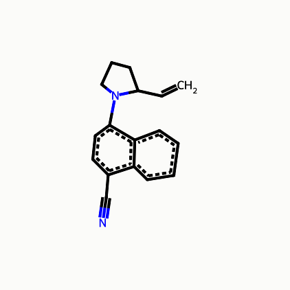 C=CC1CCCN1c1ccc(C#N)c2ccccc12